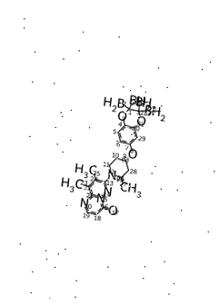 BC1(B)Oc2ccc(O[C@H]3CCN(c4nn5c(=O)ccnc5c(C)c4C)[C@H](C)C3)cc2OC1(B)B